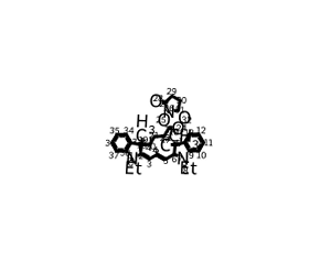 CCN1/C(=C/C=C/C2N(CC)c3ccccc3C2(C)C)C(C)(CCCC(=O)ON2C(=O)CCC2=O)c2ccccc21